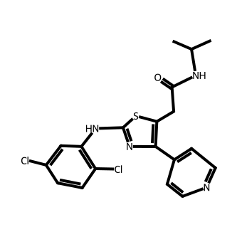 CC(C)NC(=O)Cc1sc(Nc2cc(Cl)ccc2Cl)nc1-c1ccncc1